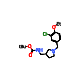 CCOc1ccc(CN2CC[C@@H](CNC(=O)OC(C)(C)C)C2)cc1Cl